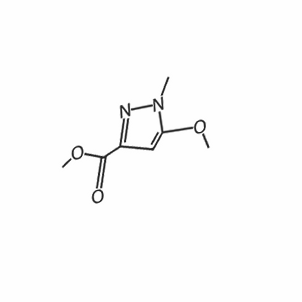 COC(=O)c1cc(OC)n(C)n1